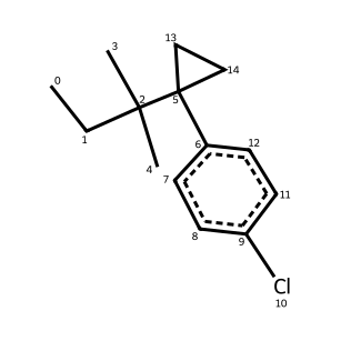 CCC(C)(C)C1(c2ccc(Cl)cc2)CC1